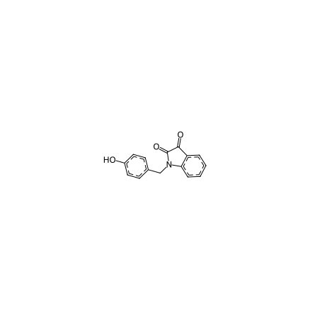 O=C1C(=O)N(Cc2ccc(O)cc2)c2ccccc21